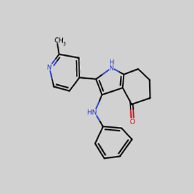 Cc1cc(-c2[nH]c3c(c2Nc2ccccc2)C(=O)CCC3)ccn1